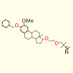 COc1cc2c(cc1OCc1ccccc1)CCC1C2CCC2(C)C(OCCOCC(C)(C)[SiH](C)C)CCC12